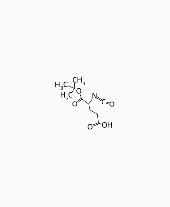 CC(C)(C)OC(=O)C(CCC(=O)O)N=C=O